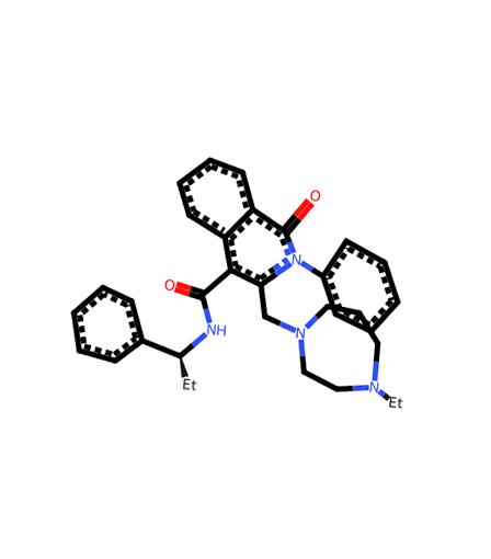 CC[C@H](NC(=O)c1c(CN2CCCN(CC)CC2)n(-c2ccccc2)c(=O)c2ccccc12)c1ccccc1